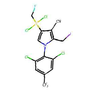 N#Cc1c(S(Cl)(Cl)CF)cn(-c2c(Cl)cc(C(F)(F)F)cc2Cl)c1CI